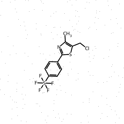 Cc1nc(-c2ccc(S(F)(F)(F)(F)F)cc2)sc1CCl